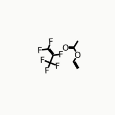 C=COC(C)=O.FC(F)=C(F)C(F)(F)F